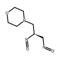 O=NC[C@H](CN1CCOCC1)N=O